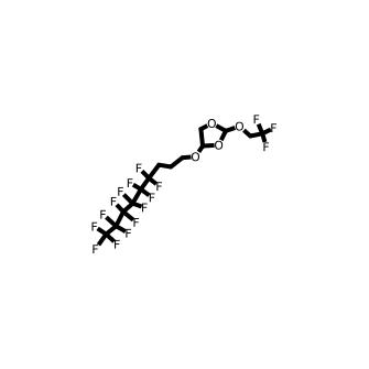 FC(F)(F)COC1OCC(OCCCC(F)(F)C(F)(F)C(F)(F)C(F)(F)C(F)(F)C(F)(F)F)O1